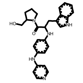 O=C(C(Cc1c[nH]c2ccccc12)Nc1ccc(Nc2ccncc2)cc1)N1CCCC1CO